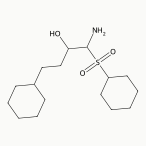 NC(C(O)CCC1CCCCC1)S(=O)(=O)C1CCCCC1